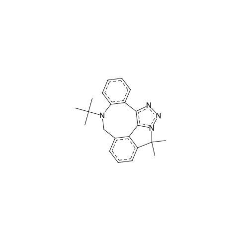 CC(C)(C)N1Cc2cccc3c2-c2c(nnn2C3(C)C)-c2ccccc21